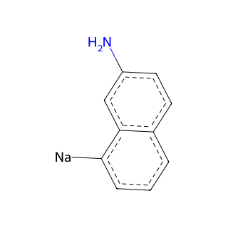 Nc1ccc2ccc[c]([Na])c2c1